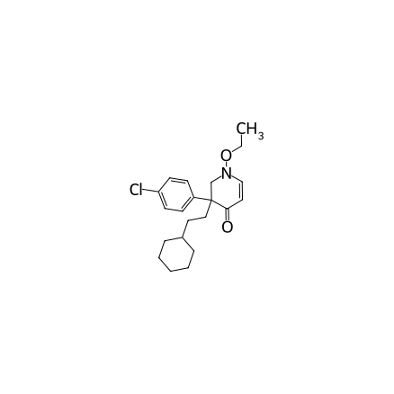 CCON1C=CC(=O)C(CCC2CCCCC2)(c2ccc(Cl)cc2)C1